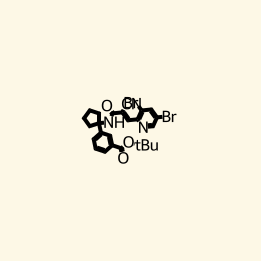 CC(C)(C)OC(=O)c1cccc(C2(NC(=O)C(C#N)=Cc3ncc(Br)cc3Br)CCCC2)c1